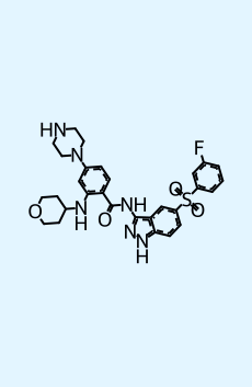 O=C(Nc1n[nH]c2ccc(S(=O)(=O)c3cccc(F)c3)cc12)c1ccc(N2CCNCC2)cc1NC1CCOCC1